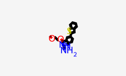 COCCOc1nc(N)nc2ccc(-c3cc4ccccc4s3)cc12